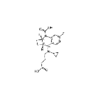 O=C(O)CCCN(C1CC1)[C@H]1c2ccc(F)cc2N(C(=O)O)[C@H]2CC[C@H]21